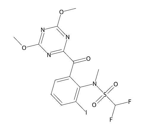 COc1nc(OC)nc(C(=O)c2cccc(I)c2N(C)S(=O)(=O)C(F)F)n1